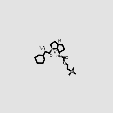 C[Si](C)(C)CCOC(=O)N[C@H]1CC[C@@H]2CCN(C(=O)[C@@H](N)C3CCCCC3)[C@@H]21